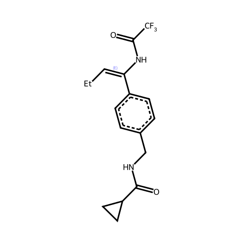 CC/C=C(/NC(=O)C(F)(F)F)c1ccc(CNC(=O)C2CC2)cc1